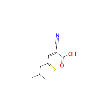 CC(C)CC(=S)C=C(C#N)C(=O)O